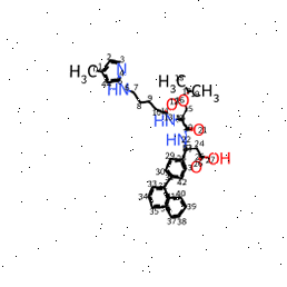 Cc1ccnc(NCCCCC(=O)N[C@@H](COC(C)C)C(=O)N[C@@H](CC(=O)O)c2ccc(-c3cccc4ccccc34)cc2)c1